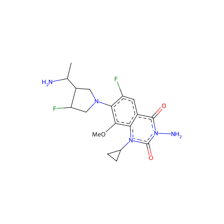 COc1c(N2CC(F)C(C(C)N)C2)c(F)cc2c(=O)n(N)c(=O)n(C3CC3)c12